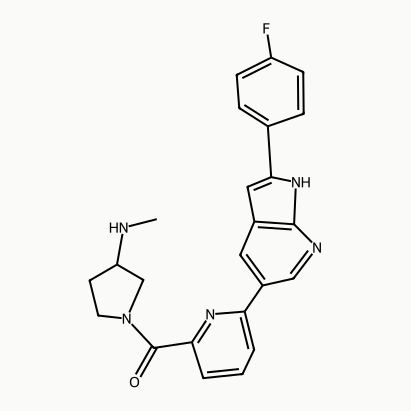 CNC1CCN(C(=O)c2cccc(-c3cnc4[nH]c(-c5ccc(F)cc5)cc4c3)n2)C1